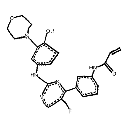 C=CC(=O)Nc1cccc(-c2nc(Nc3ccc(O)c(N4CCOCC4)c3)ncc2F)c1